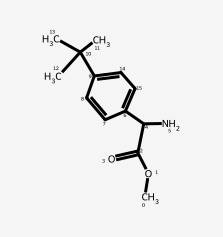 COC(=O)C(N)c1ccc(C(C)(C)C)cc1